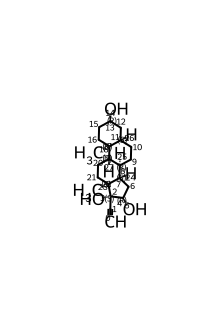 C#C[C@]1(O)[C@H](O)C[C@H]2[C@@H]3CC[C@H]4C[C@H](O)CC[C@]4(C)[C@H]3CC[C@@]21C